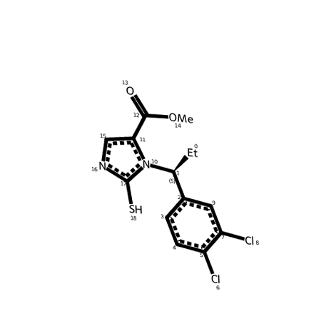 CC[C@@H](c1ccc(Cl)c(Cl)c1)n1c(C(=O)OC)cnc1S